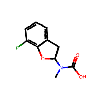 CN(C(=O)O)C1Cc2cccc(F)c2O1